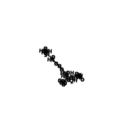 CC1(C)CC(=O)C(=C(CC[C@H](NC(=O)CCC(=O)ON2C(=O)CCC2=O)C(=O)NCCCOCCOCCOCCCNC(=O)CCCC[C@@H]2SC[C@@H]3NC(=O)N[C@@H]32)NCCNC(=O)c2nnn(-c3ccccc3)n2)C(=O)C1